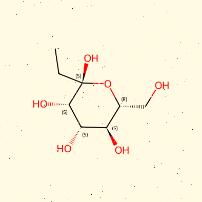 [CH2]C[C@]1(O)O[C@H](CO)[C@@H](O)[C@H](O)[C@@H]1O